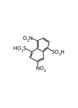 O=[N+]([O-])c1cc(S(=O)(=O)O)c2c([N+](=O)[O-])ccc(S(=O)(=O)O)c2c1